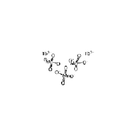 [O]=[Mn](=[O])([O-])[O-].[O]=[Mn](=[O])([O-])[O-].[O]=[Mn](=[O])([O-])[O-].[Tb+3].[Tb+3]